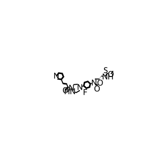 COC(=S)NC[C@H]1CN(c2ccc(N3CCNN(C(=O)/C=C/c4cccnc4)CC3)c(F)c2)C(=O)O1